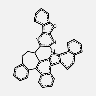 Clc1nc2oc3ccccc3c2nc1C1CCc2ccccc2-c2c1c1oc3c4ccccc4ccc3c1c1ccccc21